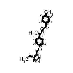 CCn1nnnc1COc1ccc(/C(C)=N/OCc2ccc(C)cc2)cc1